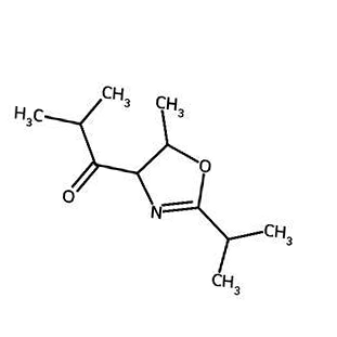 CC(C)C(=O)C1N=C(C(C)C)OC1C